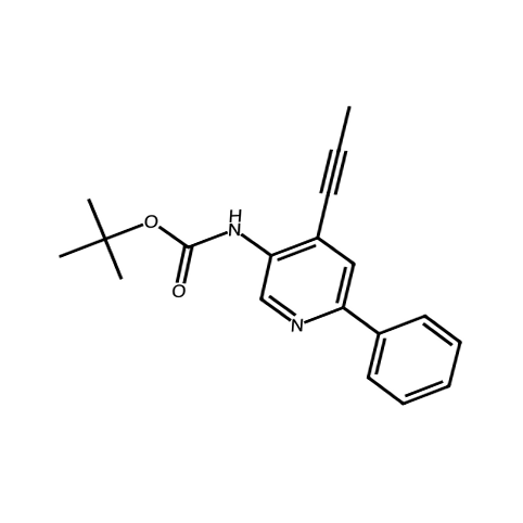 CC#Cc1cc(-c2ccccc2)ncc1NC(=O)OC(C)(C)C